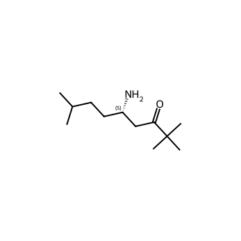 CC(C)CC[C@H](N)CC(=O)C(C)(C)C